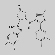 C=C1CC(c2nc3cc(C)c(C)cc3[nH]2)N(C(=O)c2nc(C)sc2-c2ccc(C)c(C)c2)C1